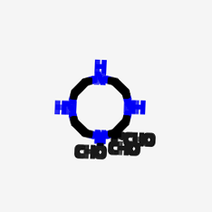 O=CN1CCNCCNCCNCC1(C=O)C=O